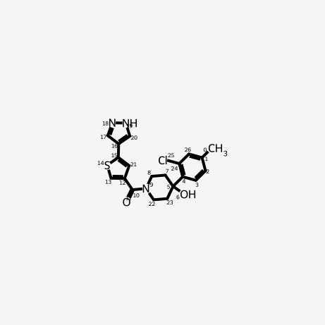 Cc1ccc(C2(O)CCN(C(=O)c3csc(-c4cn[nH]c4)c3)CC2)c(Cl)c1